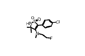 CN(CCF)C1=C(c2ccc(Cl)cc2)S(=O)(=O)NC1(C)C